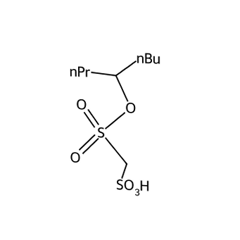 CCCCC(CCC)OS(=O)(=O)CS(=O)(=O)O